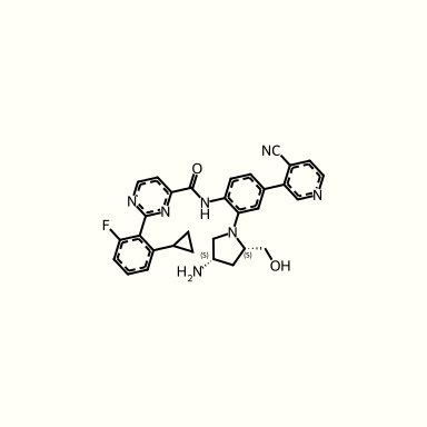 N#Cc1ccncc1-c1ccc(NC(=O)c2ccnc(-c3c(F)cccc3C3CC3)n2)c(N2C[C@@H](N)C[C@H]2CO)c1